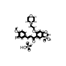 COc1ccc(C=CC(=O)c2cc3c(cc2OCCN2CCOCC2)OCS3(=O)=O)cc1F.CS(=O)(=O)O